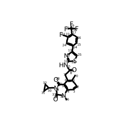 Cc1ccc2c(c1CC(=O)Nc1nc(-c3ccc(C(F)(F)F)c(F)c3)cs1)c(=O)n(C1CC1)c(=O)n2C